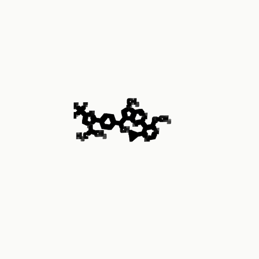 COc1ncnc(C2CC2)c1-c1ncc2c(n1)c(C(C)c1ccc(-c3nc(C(F)(F)F)cn3C(C)C)cc1)cn2C